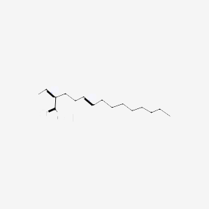 C/C=C(/CC/C=C/CCCCCCCC)C(=O)O